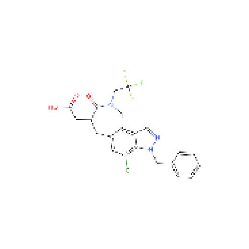 O=C(O)CC1Cc2cc(Cl)c3c(cnn3Cc3ccccc3)c2CN(CC(F)(F)F)C1=O